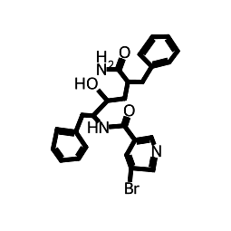 NC(=O)C(Cc1ccccc1)CC(O)C(Cc1ccccc1)NC(=O)c1cncc(Br)c1